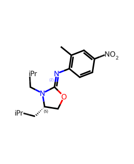 Cc1cc([N+](=O)[O-])ccc1/N=C1\OC[C@H](CC(C)C)N1CC(C)C